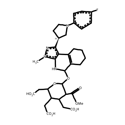 COC(=O)C1C(OC2Nc3c(c([C@H]4CCN(c5ccc(F)cc5)C4)nn3C)C3=C2CCCC3)OC(CC(=O)O)C(CC(=O)O)C1CC(=O)O